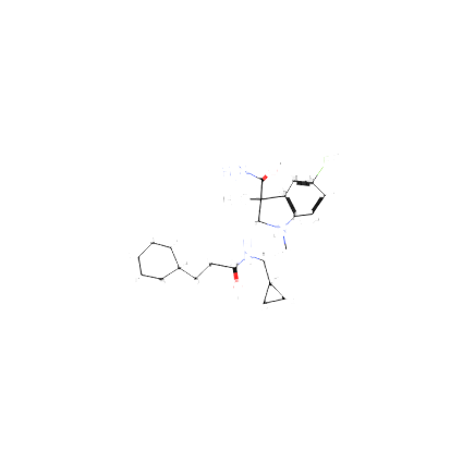 CC1(C(N)=O)CN(C[C@@H](NC(=O)[CH]CC2CCCCC2)C2CC2)c2ccc(F)cc21